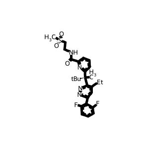 CCc1cc(-c2c(F)cccc2F)nnc1[C@](C)(c1cccc(C(=O)NCCS(C)(=O)=O)n1)C(C)(C)C